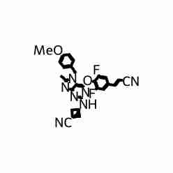 COc1ccc(Cn2c(C)nc3nc(NC45CC(C#N)(C4)C5)nc(Oc4c(F)cc(/C=C/C#N)cc4F)c32)cc1